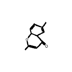 CC1=CC2C(=O)C=C(C)OC2C=C1